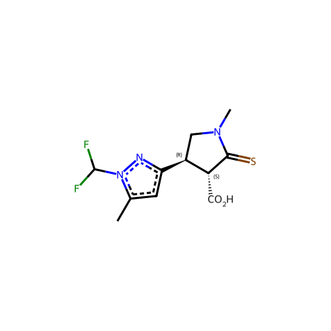 Cc1cc([C@H]2CN(C)C(=S)[C@@H]2C(=O)O)nn1C(F)F